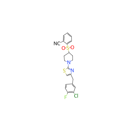 N#Cc1ccccc1S(=O)(=O)C1CCN(c2nc(Cc3ccc(F)c(Cl)c3)cs2)CC1